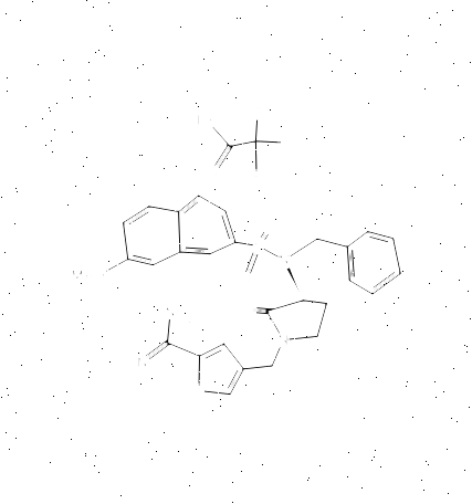 COc1ccc2ccc(S(=O)(=O)N(Cc3ccccc3)[C@H]3CCN(Cc4csc(C(=N)N)c4)C3=O)cc2c1.O=C(O)C(F)(F)F